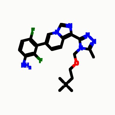 Cc1nnc(-c2ncn3cc(-c4c(F)ccc(N)c4F)ccc23)n1COCC[Si](C)(C)C